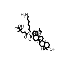 C=C(C)[C@@H]1CC[C@]2(C(=O)N(CCCCCCCN)C(=O)CCC(C)(C)C(=O)O)CC[C@]3(C)[C@H](CCC4[C@@]5(C)CC[C@H](O)C(C)(C)[C@@H]5CC[C@]43C)[C@@H]12